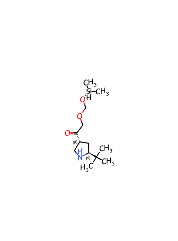 C[SiH](C)OCOCC(=O)[C@H]1CN[C@H](C(C)(C)C)C1